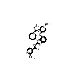 Cc1cc(C(=O)Nc2nc3cccc(OC4CCN(CC(F)(F)F)CC4)c3n2[C@@H]2CCCCN(C(=O)OC(C)(C)C)C2)ccn1